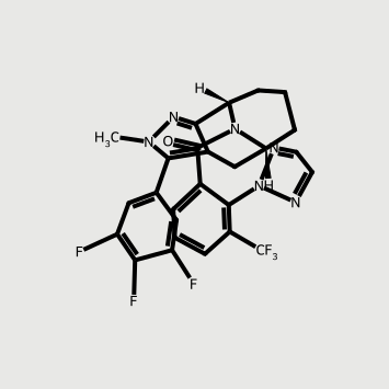 Cn1nc2c(c1-c1cc(F)c(F)c(F)c1)C[C@H]1CCC[C@@H]2N1C(=O)c1cccc(C(F)(F)F)c1-n1nccn1